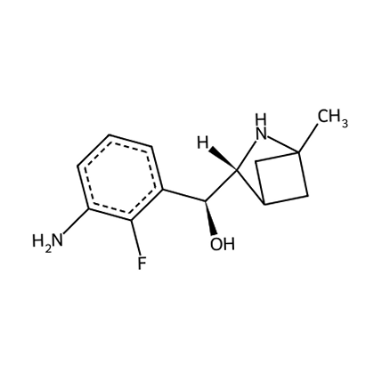 CC12CC(C1)[C@H]([C@@H](O)c1cccc(N)c1F)N2